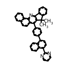 CC1(C)c2ccccc2-c2nc3c(ccc4ccccc43)c(-c3ccc(-c4ccc(-c5ncccn5)c5ccccc45)cc3)c21